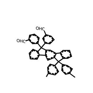 Cc1ccc(C2(c3ccc(C)cc3)c3ccccc3-c3cc4c(cc32)-c2ccccc2C4(c2cccc(C=O)c2)c2cccc(C=O)c2)cc1